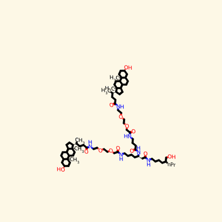 CCCC(CO)CCCCNC(=O)C[C@H](CCCCNC(=O)COCCOCCNC(=O)CCC(C)[C@H]1CCC2C3CCC4C[C@H](O)CC[C@]4(C)C3CC[C@@]21C)NC(=O)CCCNC(=O)COCCOCCNC(=O)CCC(C)[C@H]1CCC2C3CCC4C[C@H](O)CC[C@]4(C)C3CC[C@@]21C